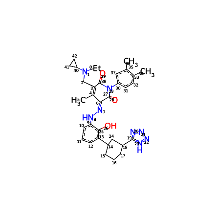 CCN(CC1=C(C)/C(=N\Nc2cccc(C3CCCC(c4nnn[nH]4)C3)c2O)C(=O)N(c2ccc(C)c(C)c2)C1=O)C1CC1